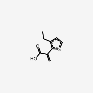 C=C(C(=O)O)c1sccc1CC